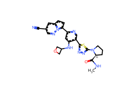 CNC(=O)[C@@H]1CCCN1c1nnc(-c2cnc(-c3ccc4cc(C#N)cnn34)cc2NC2COC2)s1